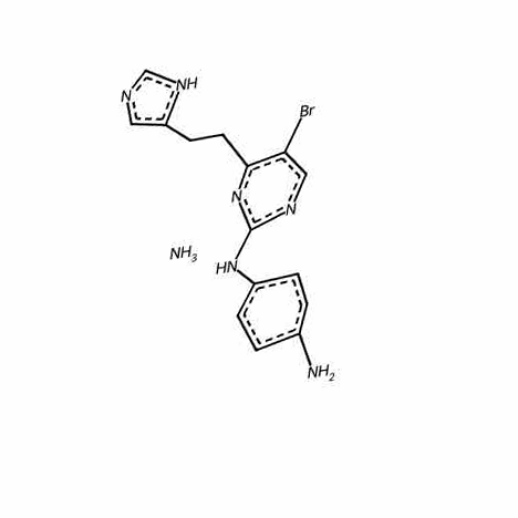 N.Nc1ccc(Nc2ncc(Br)c(CCc3cnc[nH]3)n2)cc1